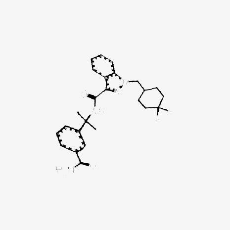 CC(C)(NC(=O)c1nn(CC2CCC(F)(F)CC2)c2ccccc12)c1cccc(C(N)=O)c1